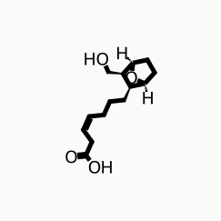 O=C(O)C/C=C\CCC[C@H]1[C@@H](CO)[C@H]2CC[C@@H]1O2